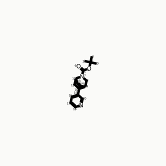 CC(C)(C)OC(=O)N1CC2CCC1C=C2c1cccnc1